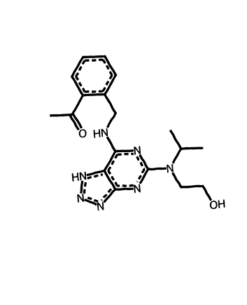 CC(=O)c1ccccc1CNc1nc(N(CCO)C(C)C)nc2nn[nH]c12